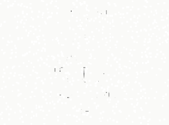 CC(C)[Si](OC(=O)/C=C/C(=O)O)(C(C)C)C(C)(C)C